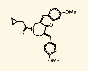 COc1ccc(C=C2CCN(C(=O)CC3CC3)CC(=Cc3ccc(OC)cc3)C2=O)cc1